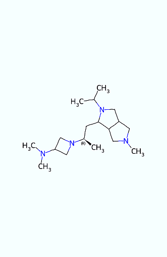 CC(C)N1CC2CN(C)CC2C1C[C@@H](C)N1CC(N(C)C)C1